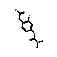 CN(C)C(=S)Oc1ccc(CC(=O)O)c(F)c1